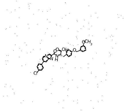 COc1cccc(COc2ccc(C[C@H](NC(=O)c3cn4ccc(-c5ccc(Cl)cc5)cc4n3)C(=O)O)cc2)c1